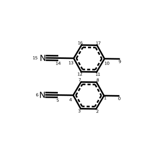 Cc1ccc(C#N)cc1.Cc1ccc(C#N)cc1